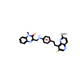 COc1ccc2ncc(F)c(CCC34CCC(NCc5nc6ccccc6n(C)c5=O)(CC3)CO4)c2n1